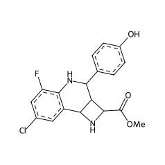 COC(=O)C1NC2c3cc(Cl)cc(F)c3NC(c3ccc(O)cc3)C12